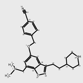 CN(C)Cc1cc(OCc2ccc(C#N)cc2)cc2c(CCC3CCNCC3)noc12